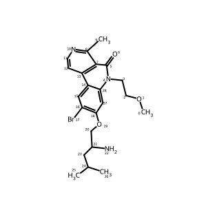 COCCn1c(=O)c2c(C)nccc2c2cc(Br)c(OCC(N)CC(C)C)cc21